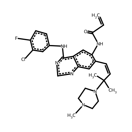 C=CC(=O)Nc1cc2c(Nc3ccc(F)c(Cl)c3)ncnc2cc1/C=C\C(C)(C)N1CCN(C)CC1